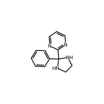 [c]1ccccc1C1(c2ncccn2)NCCN1